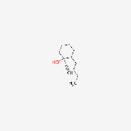 C#CC1(O)CCCCC1CCCC